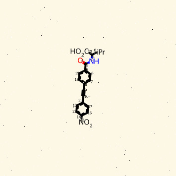 CC(C)C(NC(=O)c1ccc(C#Cc2ccc([N+](=O)[O-])cc2)cc1)C(=O)O